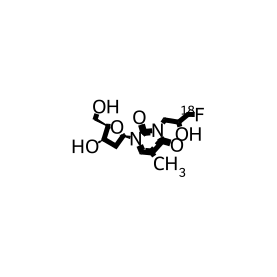 Cc1cn([C@H]2C[C@H](O)[C@@H](CO)O2)c(=O)n(CC(O)C[18F])c1=O